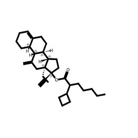 C#C[C@]1(OC(=O)C(CCCCC)C2CCC2)CC[C@H]2[C@@H]3CCC4=CCCC[C@@H]4[C@H]3C(=C)C[C@@]21CC